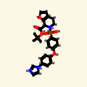 CC(C)(C)OC(=O)C1c2occc2CCN1S(=O)(=O)c1ccc(Oc2ccc(-n3ccnc3)cc2)cc1